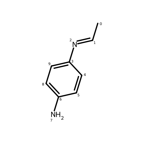 C/C=N/c1ccc(N)cc1